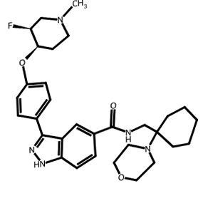 CN1CC[C@@H](Oc2ccc(-c3n[nH]c4ccc(C(=O)NCC5(N6CCOCC6)CCCCC5)cc34)cc2)[C@@H](F)C1